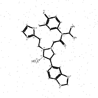 CCCC(CCC)N(C(=O)CN1CC(c2ccc3c(c2)OCO3)[C@H](C(=O)O)[C@H]1CCc1ncco1)c1ccc(F)c(C)c1